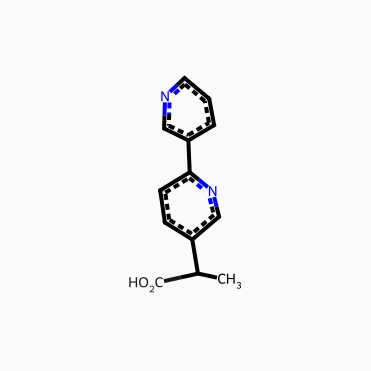 CC(C(=O)O)c1ccc(-c2cccnc2)nc1